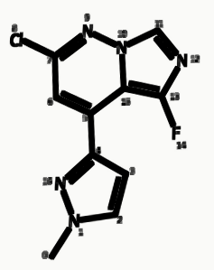 Cn1ccc(-c2cc(Cl)nn3cnc(F)c23)n1